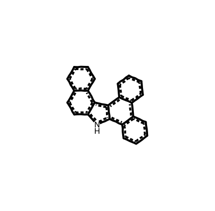 c1ccc2c(c1)ccc1[nH]c3c4ccccc4c4ccccc4c3c12